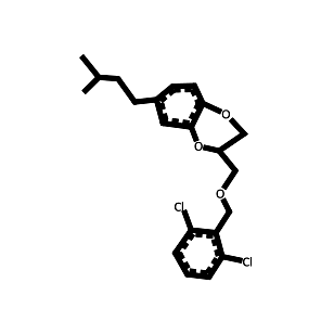 CC(C)CCc1ccc2c(c1)OC(COCc1c(Cl)cccc1Cl)CO2